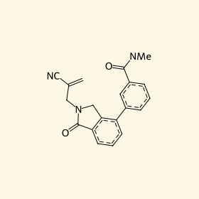 C=C(C#N)CN1Cc2c(cccc2-c2cccc(C(=O)NC)c2)C1=O